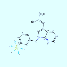 N#C/C(=C\c1cn(Cc2cccc(S(F)(F)(F)(F)F)c2)c2ncccc12)C(=O)O